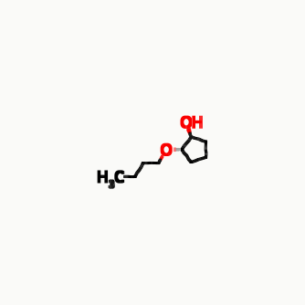 CCCCO[C@H]1CCC[C@@H]1O